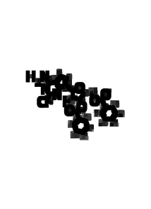 Nc1nc(Cl)nc2c1ccn2[C@@H]1O[C@H](COC(=O)c2ccccc2)[C@@H](OC(=O)c2ccccc2)[C@@H]1F